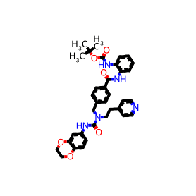 CC(C)(C)OC(=O)Nc1ccccc1NC(=O)c1ccc(CN(CCc2ccncc2)C(=O)Nc2ccc3c(c2)OCCO3)cc1